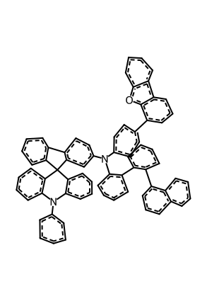 c1ccc(N2c3ccccc3C3(c4ccccc4-c4ccc(N(c5ccc(-c6cccc7c6oc6ccccc67)cc5)c5ccccc5-c5ccccc5-c5cccc6ccccc56)cc43)c3ccccc32)cc1